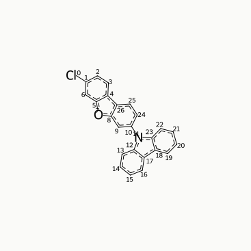 Clc1ccc2c(c1)oc1cc(-n3c4ccccc4c4ccccc43)ccc12